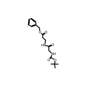 CC(C)(C)OC(=O)NCC(=O)NCCC(=O)OCc1ccccc1